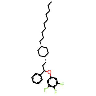 CCCCCCCCCC[C@H]1CC[C@H](CCC(Oc2cc(F)c(F)c(F)c2)c2ccccc2)CC1